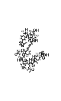 CC(=O)N1CC[C@H]2CC[C@@H](C(=O)N[C@@H](CCC(N)=O)COc3cccc(CCCCC(=O)N[C@H](C(=O)N4C[C@@H](O)C[C@H]4C(=O)N[C@@H](C)c4ccc(-c5scnc5C)cc4)C(C)(C)C)c3Cl)N2C(=O)[C@@H](NC(=O)c2cc3cc(C(=O)P(=O)(O)O)ccc3[nH]2)C1